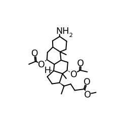 COC(=O)CCC(C)[C@H]1CC[C@H]2C3C(C[C@H](OC(C)=O)C12C)C1(C)CCC(N)CC1C[C@H]3OC(C)=O